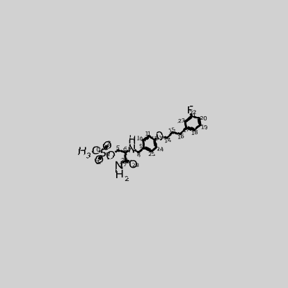 CS(=O)(=O)OCC(NCc1ccc(OCCCc2cccc(F)c2)cc1)C(N)=O